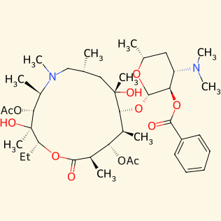 CC[C@H]1OC(=O)[C@H](C)[C@@H](OC(C)=O)[C@H](C)[C@@H](O[C@@H]2O[C@H](C)C[C@H](N(C)C)[C@H]2OC(=O)c2ccccc2)[C@@](C)(O)C[C@@H](C)CN(C)[C@H](C)[C@@H](OC(C)=O)[C@]1(C)O